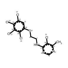 Cc1ncnc(NCCOc2cc(Cl)c(Cl)c(Cl)c2Cl)c1Cl